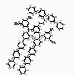 CC(C)(C)c1cc(N2c3ccc(-c4ccc(-c5ccc(-c6ccccc6)cc5)cc4)cc3[SH]3c4cc(-c5ccc(-c6ccc(-c7ccccc7)cc6)cc5)ccc4N(c4cc(C(C)(C)C)cc(C(C)(C)C)c4)c4cc(CCC5c6cc(-c7ccccc7)ccc6-c6ccc(-c7ccccc7)cc65)cc2c43)cc(C(C)(C)C)c1